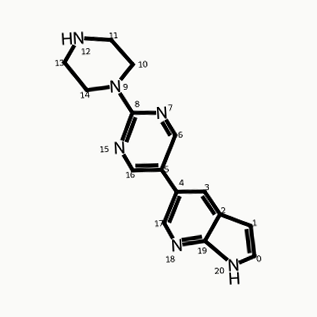 c1cc2cc(-c3cnc(N4CCNCC4)nc3)cnc2[nH]1